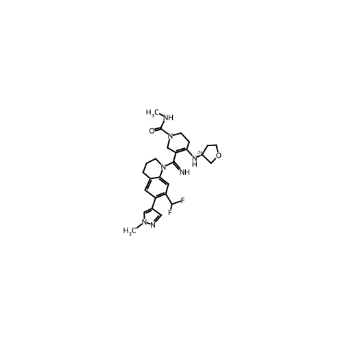 CNC(=O)N1CCC(N[C@H]2CCOC2)=C(C(=N)N2CCCc3cc(-c4cnn(C)c4)c(C(F)F)cc32)C1